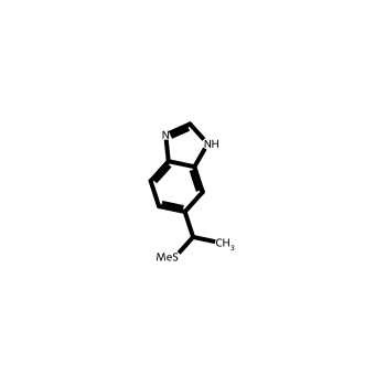 CSC(C)c1ccc2nc[nH]c2c1